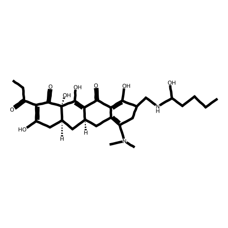 CCCCC(O)NCC1CC(N(C)C)=C2C[C@H]3C[C@H]4CC(O)=C(C(=O)CC)C(=O)[C@@]4(O)C(O)=C3C(=O)C2=C1O